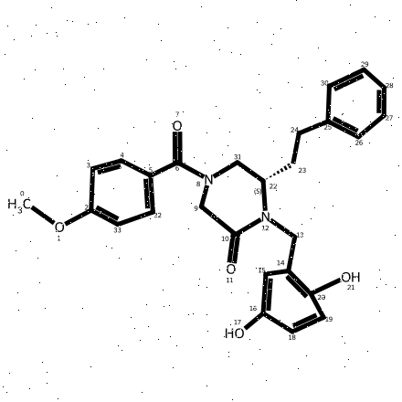 COc1ccc(C(=O)N2CC(=O)N(Cc3cc(O)ccc3O)[C@@H](CCc3ccccc3)C2)cc1